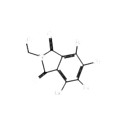 CC(C)CN1C(=O)c2c(Br)c(Br)c(Br)c(Br)c2C1=O